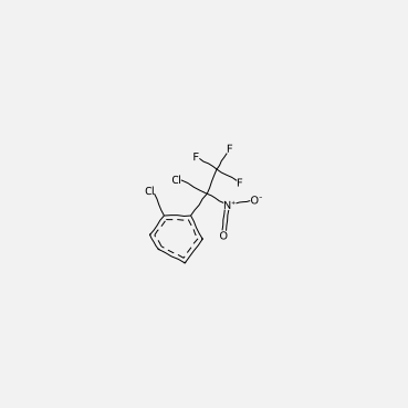 O=[N+]([O-])C(Cl)(c1ccccc1Cl)C(F)(F)F